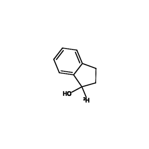 [2H]C1(O)CCc2ccccc21